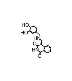 O=C1NC(=O)c2ccccc2/C1=C/NCc1ccc(O)c(O)c1